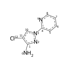 Nc1nn(-c2ccccn2)cc1Cl